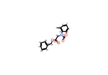 Cc1cccc2oc(=O)n(CC(=O)OCc3ccccc3)c12